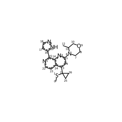 CSC1(c2cc(N3CCOCC3C)nc3c(-c4ccn[nH]4)nccc23)CC1